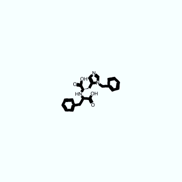 O=C(O)C(Cc1ccccc1)N[C@@H](Cc1cncn1Cc1ccccc1)C(=O)O